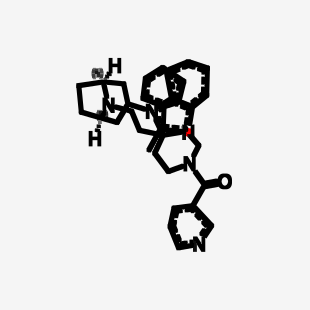 Cc1nc2ccccc2n1C1C[C@H]2CC[C@@H](C1)N2CCC1(c2ccccc2)CCN(C(=O)c2cccnc2)CC1